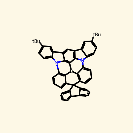 CC(C)(C)c1ccc2c(c1)c1cc3c4cc(C(C)(C)C)ccc4n4c3c3c1n2-c1cccc2c1B3c1c-4cccc1C21c2ccccc2-c2ccccc21